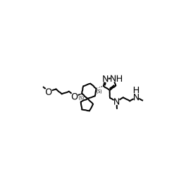 CNCCN(C)Cc1c[nH]nc1[C@H]1CC[C@H](OCCCOC)C2(CCCC2)C1